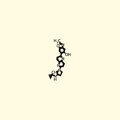 Cc1nc2cc(O)c(-c3ccc4nc(N5CC[C@@H](NC6(C)CC6)C5)ccc4n3)cc2o1